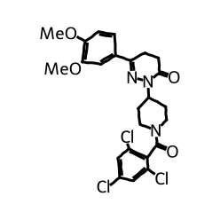 COc1ccc(C2=NN(C3CCN(C(=O)c4c(Cl)cc(Cl)cc4Cl)CC3)C(=O)CC2)cc1OC